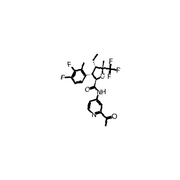 CC[C@H]1[C@@H](c2ccc(F)c(F)c2C)[C@H](C(=O)Nc2ccnc(C(C)=O)c2)O[C@@]1(C)C(F)(F)F